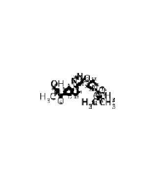 CN(CCO)C(=O)c1ccc2c(c1)CCN2c1cc(OC2CCN(C(=O)OC(C)(C)C)CC2)ncn1